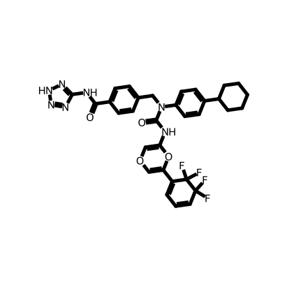 O=C(Nc1nn[nH]n1)c1ccc(CN(C(=O)NC2=COC=C(C3=CC=CC(F)(F)C3(F)F)O2)c2ccc(C3CCCCC3)cc2)cc1